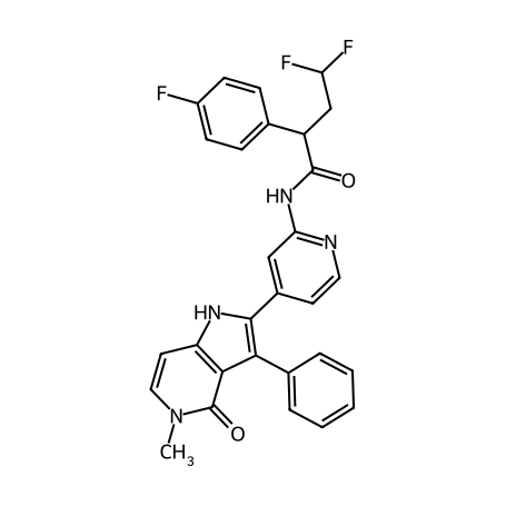 Cn1ccc2[nH]c(-c3ccnc(NC(=O)C(CC(F)F)c4ccc(F)cc4)c3)c(-c3ccccc3)c2c1=O